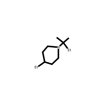 CCC1CCN(C(C)(C)CC)CC1